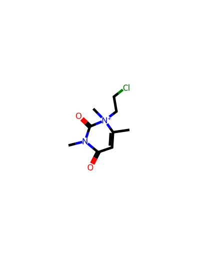 CC1=CC(=O)N(C)C(=O)[N+]1(C)CCCl